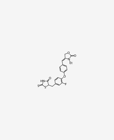 CCN1C(=O)OCC1=Cc1ccc(Oc2ccc(CC3SC(=S)NC3=O)cc2F)cc1